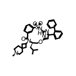 CC(C)C[C@@H]1COc2cc(-c3ccccc3-c3ccccc3)nc(n2)NS(=O)(=O)c2cccc(c2)C(=O)N1C1CC2(CCN(C)CC2)C1